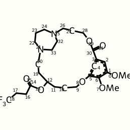 COc1cc2cc(c1OC)OCCCC(OC(=O)CCC(F)(F)F)CCN1CCCN(CCCOC2=O)CC1